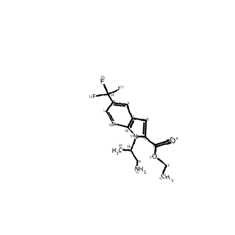 CCOC(=O)c1cc2cc(C(F)(F)F)cnc2n1C(C)CN